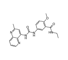 CCNC(=O)c1cc(NC(=O)Nc2cc(C)nc3cccnc23)ccc1OC